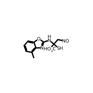 Cc1cccc2oc(NC(S)(CN=O)C(=O)O)nc12